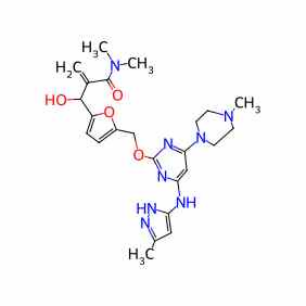 C=C(C(=O)N(C)C)C(O)c1ccc(COc2nc(Nc3cc(C)n[nH]3)cc(N3CCN(C)CC3)n2)o1